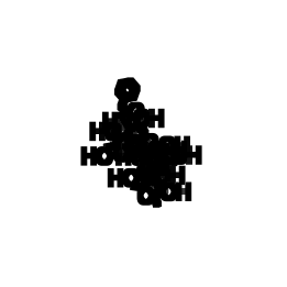 CC1OC(CO)[C@@H](O[C@@H]2OC(CO)[C@H](O)C(O[C@]3(C(=O)O)C[C@@H](O)[C@@H](NC(=O)Cc4ccccc4)C([C@H](O)[C@H](O)CO)O3)[C@@H]2O)[C@H](O)[C@@H]1O